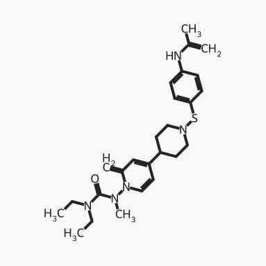 C=C(C)Nc1ccc(SN2CCC(C3=CC(=C)N(N(C)C(=O)N(CC)CC)C=C3)CC2)cc1